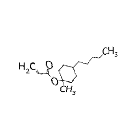 C=CC(=O)OC1(C)CCC(CCCCC)CC1